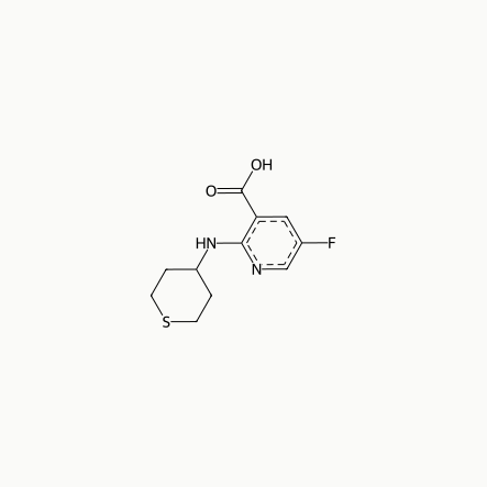 O=C(O)c1cc(F)cnc1NC1CCSCC1